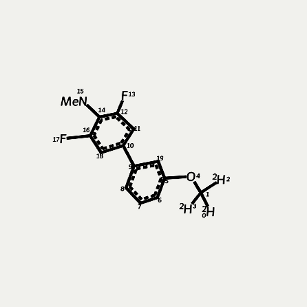 [2H]C([2H])([2H])Oc1cccc(-c2cc(F)c(NC)c(F)c2)c1